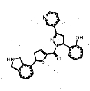 O=C(C1=CCC(c2cccc3c2CNC3)S1)N1N=C(c2cccnc2)CC1c1ccccc1O